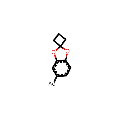 CC(=O)c1ccc2c(c1)OC1(CCC1)O2